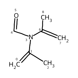 C=C(C)N(C=O)C(=C)C